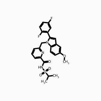 COc1ccc2c(c1)cc(-c1cc(F)ccc1F)n2Cc1cccc(C(=O)NS(=O)(=O)C(C)C)n1